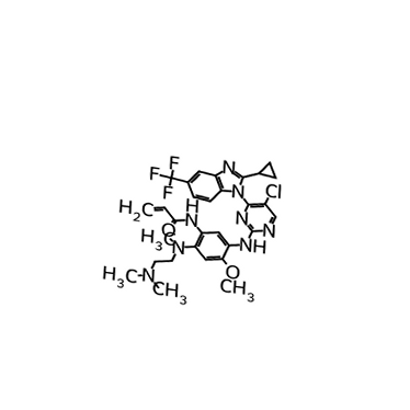 C=CC(=O)Nc1cc(Nc2ncc(Cl)c(-n3c(C4CC4)nc4cc(C(F)(F)F)ccc43)n2)c(OC)cc1N(C)CCN(C)C